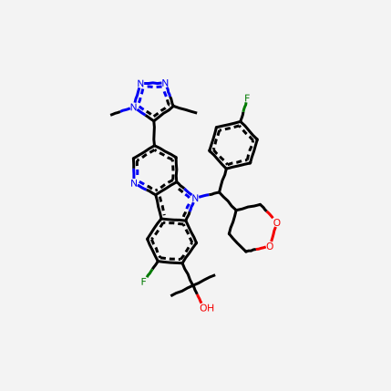 Cc1nnn(C)c1-c1cnc2c3cc(F)c(C(C)(C)O)cc3n(C(c3ccc(F)cc3)C3CCOOC3)c2c1